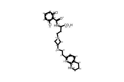 O=C(NC(CCN1CC(OCCc2ccc3c(n2)NCCC3)C1)C(=O)O)c1c(Cl)cccc1Cl